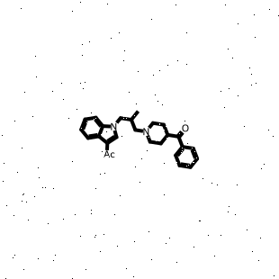 CC(=O)c1cn(CC(C)CN2CCC(C(=O)c3ccccc3)CC2)c2ccccc12